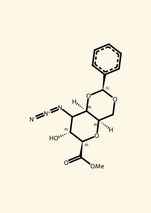 COC(=O)[C@@H]1O[C@@H]2CO[C@H](c3ccccc3)O[C@@H]2C(N=[N+]=[N-])[C@H]1O